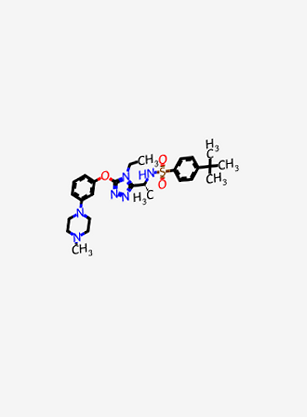 CCn1c(Oc2cccc(N3CCN(C)CC3)c2)nnc1[C@@H](C)NS(=O)(=O)c1ccc(C(C)(C)C)cc1